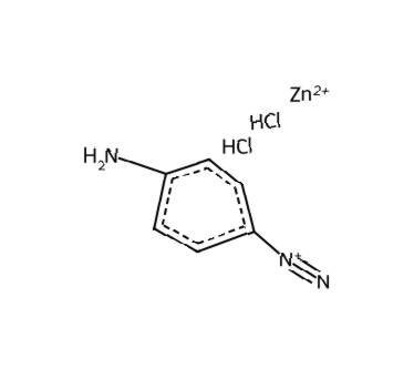 Cl.Cl.N#[N+]c1ccc(N)cc1.[Zn+2]